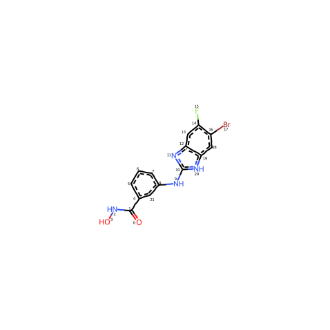 O=C(NO)c1cccc(Nc2nc3cc(F)c(Br)cc3[nH]2)c1